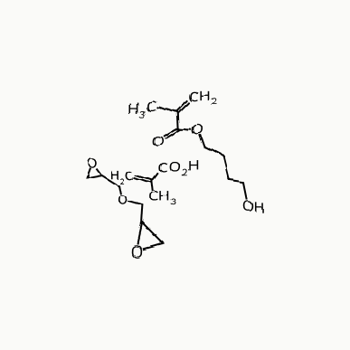 C(OCC1CO1)C1CO1.C=C(C)C(=O)O.C=C(C)C(=O)OCCCCO